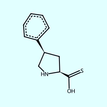 OC(=S)[C@@H]1C[C@H](c2ccccc2)CN1